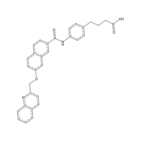 O=C(O)CCCc1ccc(NC(=O)c2ccc3ccc(OCc4ccc5ccccc5n4)cc3c2)cc1